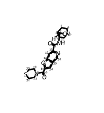 O=C(N[C@H]1CN2CCC1CC2)c1cc2oc(C(=O)N3CCSCC3)cc2cn1